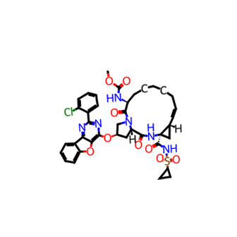 COC(=O)N[C@H]1CCCCC/C=C\[C@@H]2C[C@@]2(C(=O)NS(=O)(=O)C2CC2)NC(=O)[C@@H]2C[C@@H](Oc3nc(-c4ccccc4Cl)nc4c3oc3ccccc34)CN2C1=O